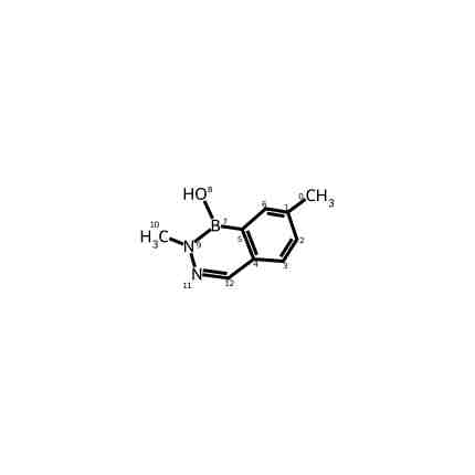 Cc1ccc2c(c1)B(O)N(C)N=C2